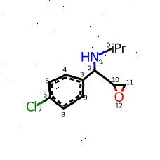 CC(C)NC(c1ccc(Cl)cc1)C1CO1